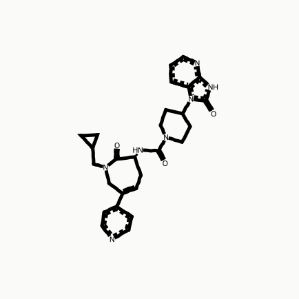 O=C(N[C@@H]1CC=C(c2ccncc2)CN(CC2CC2)C1=O)N1CCC(n2c(=O)[nH]c3ncccc32)CC1